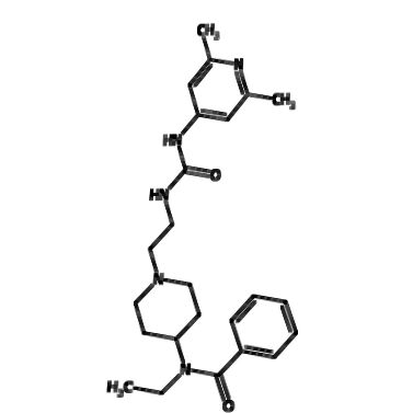 CCN(C(=O)c1ccccc1)C1CCN(CCNC(=O)Nc2cc(C)nc(C)c2)CC1